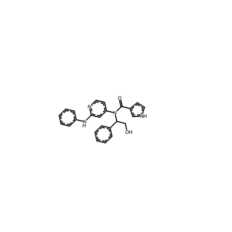 O=C(c1cc[nH]c1)N(c1ccnc(Nc2ccccc2)c1)C(CO)c1ccccc1